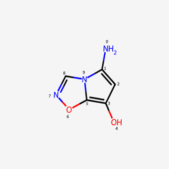 Nc1cc(O)c2oncn12